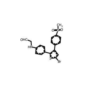 CS(=O)(=O)c1ccc(-c2cc(Br)sc2-c2ccc(NCC=O)cc2)cc1